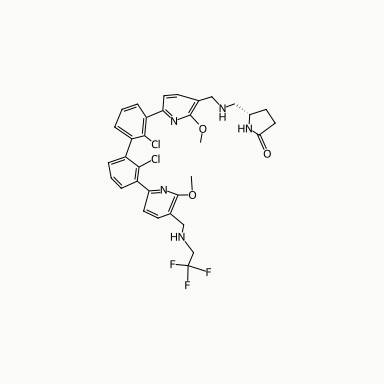 COc1nc(-c2cccc(-c3cccc(-c4ccc(CNCC(F)(F)F)c(OC)n4)c3Cl)c2Cl)ccc1CNC[C@@H]1CCC(=O)N1